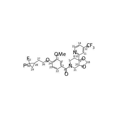 COc1cc(C(=O)N2CCC3(c4cc(C(F)(F)F)ccn4)OCOC3C2)ccc1OCCC1CC1(F)F